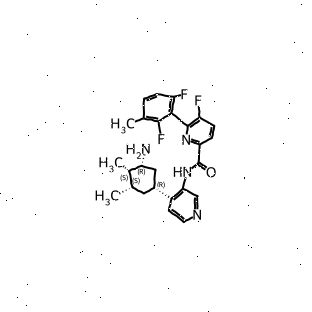 Cc1ccc(F)c(-c2nc(C(=O)Nc3cnccc3[C@H]3C[C@@H](N)[C@@H](C)[C@@H](C)C3)ccc2F)c1F